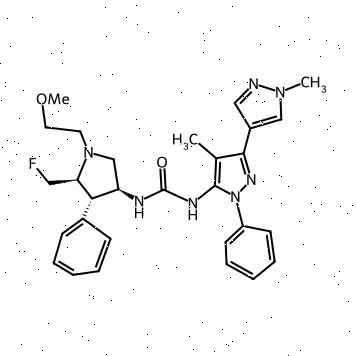 COCCN1C[C@@H](NC(=O)Nc2c(C)c(-c3cnn(C)c3)nn2-c2ccccc2)[C@H](c2ccccc2)[C@H]1CF